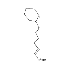 CCCCCC=CCCCOC1CCCCO1